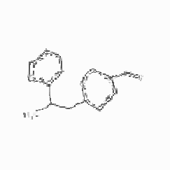 CC(Cc1ccc(C=O)cc1)c1ccccc1